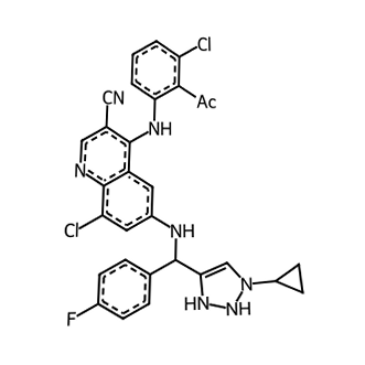 CC(=O)c1c(Cl)cccc1Nc1c(C#N)cnc2c(Cl)cc(NC(C3=CN(C4CC4)NN3)c3ccc(F)cc3)cc12